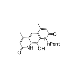 CCCCCn1c(=O)cc(C)c2cc3c(C)cc(=O)[nH]c3c(O)c21